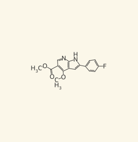 COC(=O)c1cnc2[nH]c(-c3ccc(F)cc3)cc2c1OC